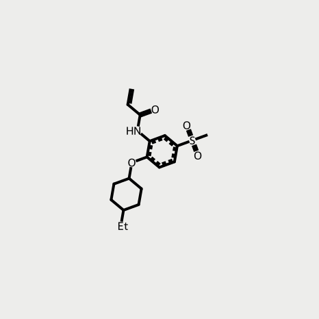 C=CC(=O)Nc1cc(S(C)(=O)=O)ccc1OC1CCC(CC)CC1